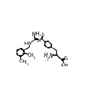 Cc1cccc(CNC(N)=NC(=O)c2ccc(CC(N)C(=O)O)cc2)c1C